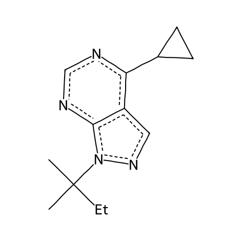 CCC(C)(C)n1ncc2c(C3CC3)ncnc21